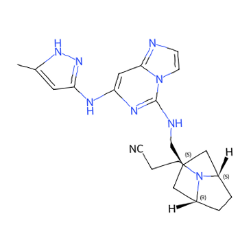 Cc1cc(Nc2cc3nccn3c(NC[C@@H]3C[C@H]4CC[C@@H](C3)N4CCC#N)n2)n[nH]1